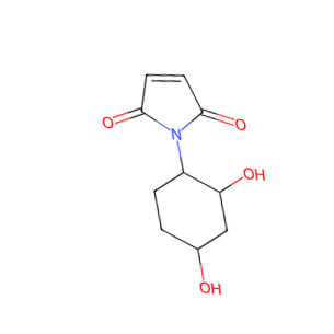 O=C1C=CC(=O)N1C1CCC(O)CC1O